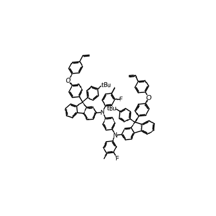 C=Cc1ccc(Oc2ccc(C3(c4ccc(C(C)(C)C)cc4)c4ccccc4-c4ccc(N(c5ccc(N(c6ccc(C)c(F)c6)c6ccc7c(c6)C(c6ccc(Oc8ccc(C=C)cc8)cc6)(c6ccc(C(C)(C)C)cc6)c6ccccc6-7)cc5)c5ccc(C)c(F)c5)cc43)cc2)cc1